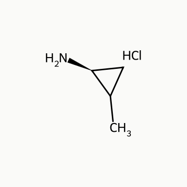 CC1C[C@@H]1N.Cl